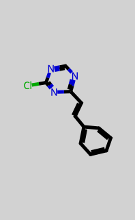 Clc1ncnc(/C=C/c2ccccc2)n1